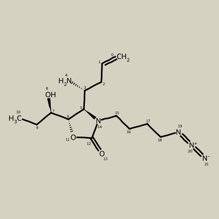 C=CC[C@@H](N)[C@@H]1[C@@H]([C@H](O)CC)OC(=O)N1CCCCN=[N+]=[N-]